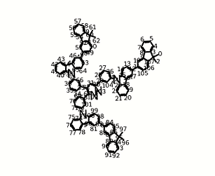 CC1(C)c2ccccc2-c2cc(-c3ccc4c(c3)c3ccccc3n4-c3cccc(-c4cc(-c5cccc(-n6c7ccccc7c7cc(-c8ccc9c(c8)-c8ccccc8C9(C)C)ccc76)c5)c(-c5cccc(-n6c7ccccc7c7cc(-c8ccc9c(c8)-c8ccccc8C9(C)C)ccc76)c5)nn4)c3)ccc21